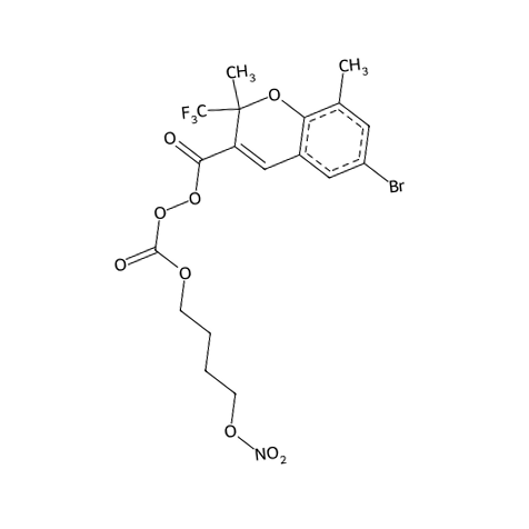 Cc1cc(Br)cc2c1OC(C)(C(F)(F)F)C(C(=O)OOC(=O)OCCCCO[N+](=O)[O-])=C2